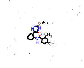 CCCCSc1nnc2c(n1)OC(C1CC=C(C)CC1C)NC1=C2C=CCC1